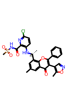 Cc1cc([C@@H](C)Nc2ccc(Cl)nc2C(=O)NS(C)(=O)=O)c2oc(-c3ccccc3)c(-c3cnoc3C)c(=O)c2c1